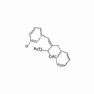 CC(=O)OC(OC(C)=O)C(=Cc1cccc(Cl)c1)Cc1ccccc1